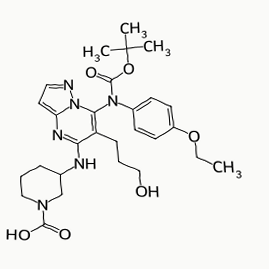 CCOc1ccc(N(C(=O)OC(C)(C)C)c2c(CCCO)c(NC3CCCN(C(=O)O)C3)nc3ccnn23)cc1